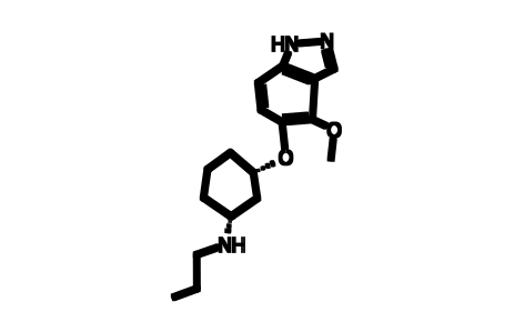 CCCN[C@@H]1CCC[C@H](Oc2ccc3[nH]ncc3c2OC)C1